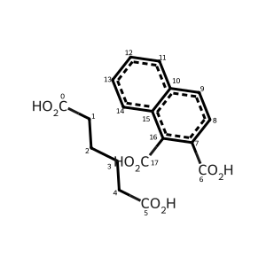 O=C(O)CCCCC(=O)O.O=C(O)c1ccc2ccccc2c1C(=O)O